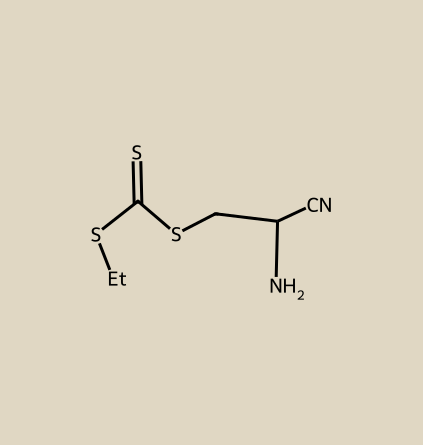 CCSC(=S)SCC(N)C#N